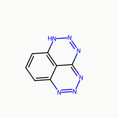 c1cc2c3c(nnnc3c1)N=NN2